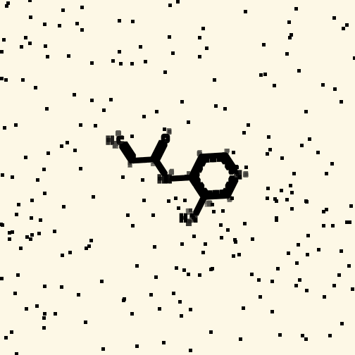 C=CC(=O)Nc1ccncc1N